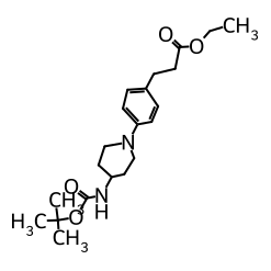 CCOC(=O)CCc1ccc(N2CCC(NC(=O)OC(C)(C)C)CC2)cc1